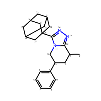 CC1CC(c2ccccc2)Cn2c1nnc2C12CC3CC(CC(C3)C1)C2